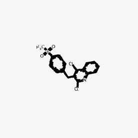 CS(=O)(=O)c1ccc(Cc2c(Cl)nc3ccccc3c2Cl)cc1